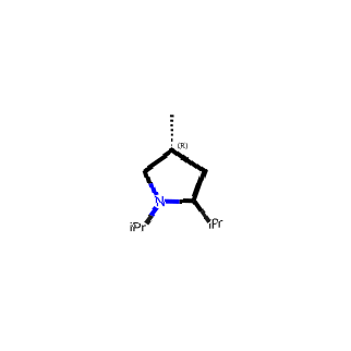 CC(C)C1C[C@@H](C)CN1C(C)C